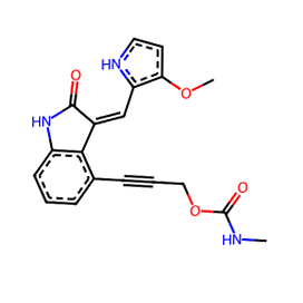 CNC(=O)OCC#Cc1cccc2c1C(=Cc1[nH]ccc1OC)C(=O)N2